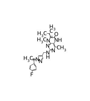 Cc1nc(NCc2cnn([C@H](C)c3ccc(F)cc3)c2)nc2c1NC(=O)[C@H](C(C)C)N2C